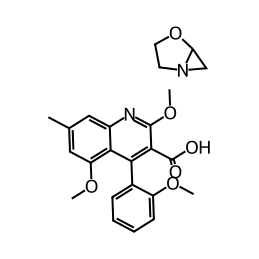 C1CN2CC2O1.COc1ccccc1-c1c(C(=O)O)c(OC)nc2cc(C)cc(OC)c12